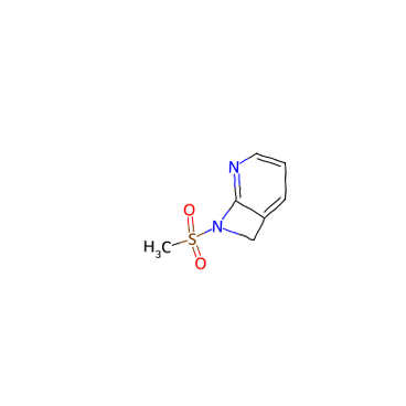 CS(=O)(=O)N1Cc2cccnc21